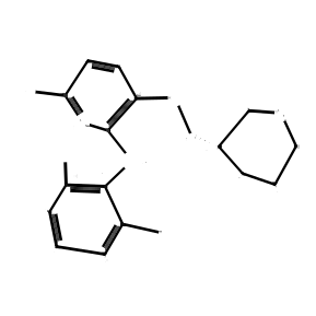 Cc1ccc(OC[C@H]2CCCNC2)c(Oc2c(F)cccc2F)n1